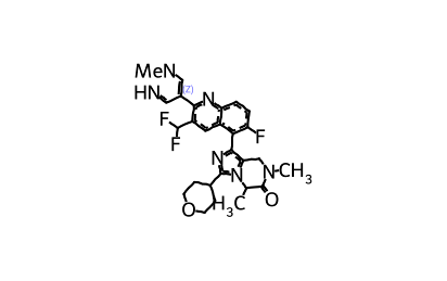 CN/C=C(\C=N)c1nc2ccc(F)c(-c3nc(C4CCOCC4)n4c3CN(C)C(=O)C4C)c2cc1C(F)F